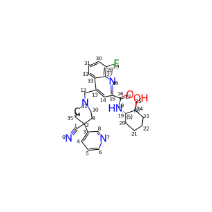 N#CC1(c2cccnc2)CCN(Cc2cc(C(=O)N[C@H]3CCCC[C@@H]3O)nc3c(F)cccc23)CC1